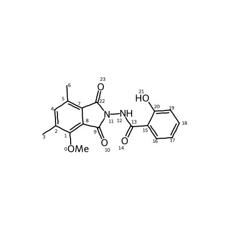 COc1c(C)cc(C)c2c1C(=O)N(NC(=O)c1ccccc1O)C2=O